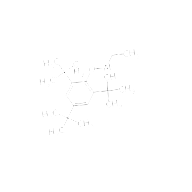 C[CH2][Al][O]c1c(C(C)(C)C)cc(C(C)(C)C)cc1C(C)(C)C